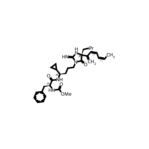 C=C(/C=C\C=C/C)[C@@]1(CC(C)C)NC(=N)N(CCC[C@@H](NC(=O)[C@H](Cc2ccccc2)NC(=O)OC)C2CC2)C1=O